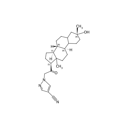 CC12CC[C@@H]3C4CC[C@@](C)(O)CC4CC[C@H]3[C@@H]1CC[C@@H]2C(=O)Cn1cc(C#N)cn1